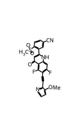 COc1cccnc1C#Cc1c(F)cc2[nH]c(-c3cc(C#N)ccc3S(C)(=O)=O)cc(=O)c2c1F